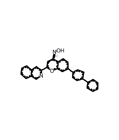 O/N=c1/cc(-c2cc3ccccc3cn2)oc2cc(-c3ccc(-c4ccccc4)cc3)ccc12